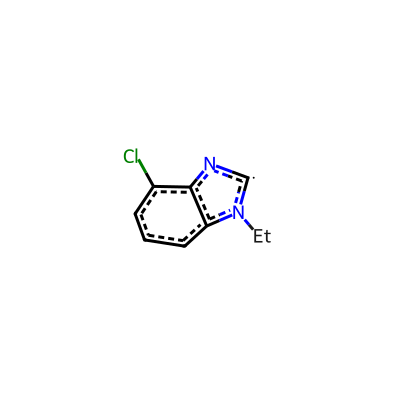 CCn1[c]nc2c(Cl)cccc21